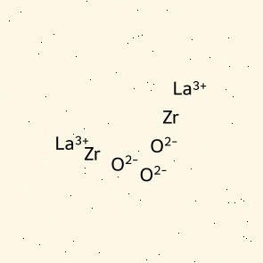 [La+3].[La+3].[O-2].[O-2].[O-2].[Zr].[Zr]